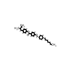 CCCCCCC[C@H]1CC[C@H](COc2ccc(C(=O)Oc3ccc(C[C@@H](C)CC)cc3)cc2)CC1